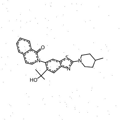 CC1CCN(c2nc3cc(C(C)(C)O)c(-n4ccc5ccccc5c4=O)cc3s2)CC1